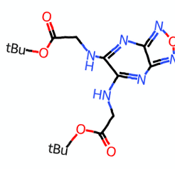 CC(C)(C)OC(=O)CNc1nc2nonc2nc1NCC(=O)OC(C)(C)C